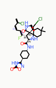 C=C(Cl)/C=C\C=C(/F)[C@H]1[C@H](C(=O)N[C@H]2CC[C@H](c3noc(=O)[nH]3)CC2)NC2(CCC(C)(C)CC2)[C@@]12C(=O)Nc1cc(Cl)ccc12